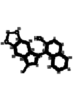 Cc1cn(-c2c(O)ccc3ccccc23)c2cc3c(cc12)OCO3